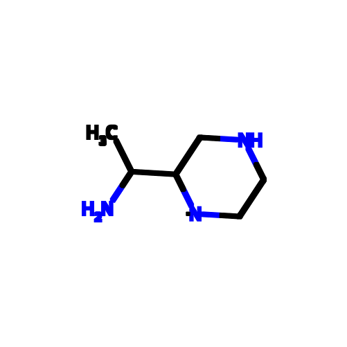 CC(N)C1CNCC[N]1